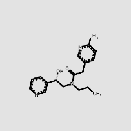 CCCN(C[C@@H](O)c1cccnc1)C(=O)Cc1ccc(C)nc1